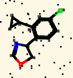 Clc1ccc(C2CO[C]=N2)c(C2CC2)c1